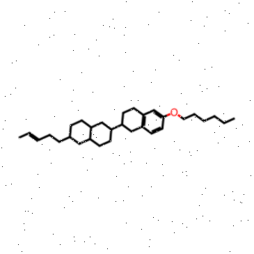 CC=CCCC1CCC2CC(C3CCc4cc(OCCCCCC)ccc4C3)CCC2C1